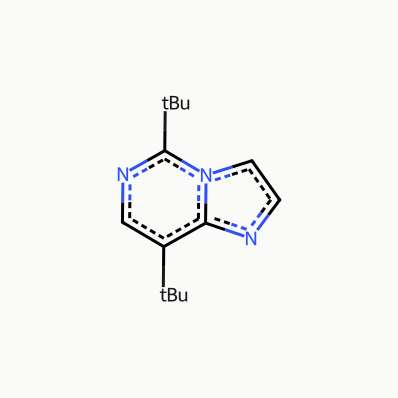 CC(C)(C)c1cnc(C(C)(C)C)n2ccnc12